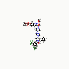 CC(C)(C)OC(=O)NC(Cc1ccc(OC(=O)OC(C)(C)C)cc1)C(=O)N1CCC(N2CCN(C3CCN(C(=O)c4cc(C(F)(F)F)cc(C(F)(F)F)c4)C(Cc4ccccc4)C3)CC2)CC1